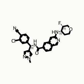 Cn1cc([C@@H](NC(=O)c2ccc3cnc(N[C@H]4CCOC[C@H]4F)cc3c2)c2ccc(C#N)c(Cl)c2)cn1